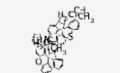 CC(C)(C)c1ccc2c(c1)C1(c3cc(C(C)(C)C)ccc3S2)c2ccccc2-c2ccc(N(c3ccccc3)c3ccc4c(c3)C3(c5ccccc5Oc5ccccc53)c3ccccc3-4)cc21